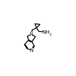 NCC1(CN2Cc3ccncc3C2)CC1